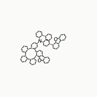 c1ccc(-c2ccccc2N(c2ccc(-c3cccc4c3oc3ccccc34)cc2)c2ccc3c4ccccc4c4ccccc4c4ccccc4c4c(ccc5c6ccccc6oc54)c3c2)cc1